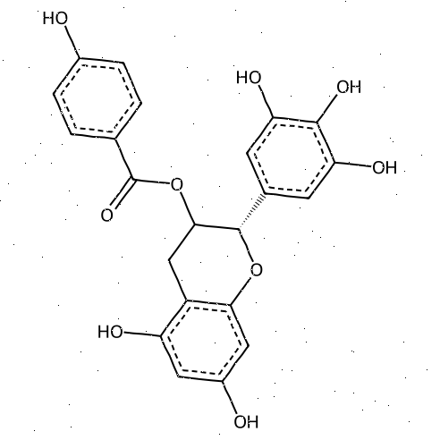 O=C(OC1Cc2c(O)cc(O)cc2O[C@H]1c1cc(O)c(O)c(O)c1)c1ccc(O)cc1